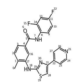 Cc1ccc(C(=O)Nc2ccc(F)cc2F)cc1Nc1nc(-c2ccncc2)cs1